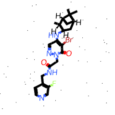 C[C@@H]1[C@H]2C[C@@H](C[C@H]1Nc1cnn(CC(=O)NCc3ccncc3F)c(=O)c1Br)C2(C)C